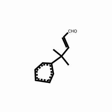 CC(C)(C=CC=O)c1ccccc1